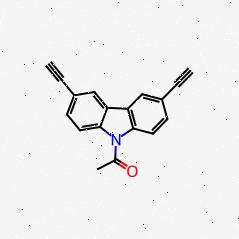 C#Cc1ccc2c(c1)c1cc(C#C)ccc1n2C(C)=O